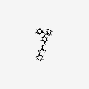 O=C(COc1ccc([SH](c2ccccc2)c2ccccc2)cc1)OC1CCCCC1